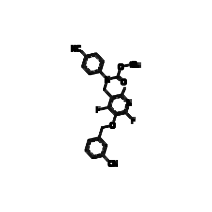 Cc1nc(F)c(OCc2cccc(C#N)c2)c(F)c1CN(C(=O)OC(C)(C)C)c1ccc(C#N)cc1